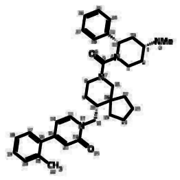 CN[C@@H]1CCN(C(=O)N2CC[C@@H](Cn3ccc(-c4ccccc4C)cc3=O)C3(CCCC3)C2)[C@H](c2ccccc2)C1